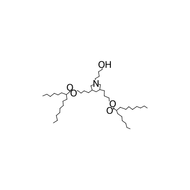 CCCCCCCCC(CCCCCC)C(=O)OCCCCC1CC(CCCCOC(=O)C(CCCCCC)CCCCCCCC)CN(CCCCO)C1